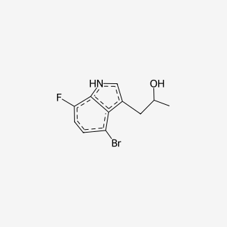 CC(O)Cc1c[nH]c2c(F)ccc(Br)c12